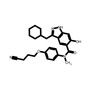 CN(C(=O)c1cc2c(CC3CCCCC3)n[nH]c2cc1O)c1ccc(OCCCC#N)cc1